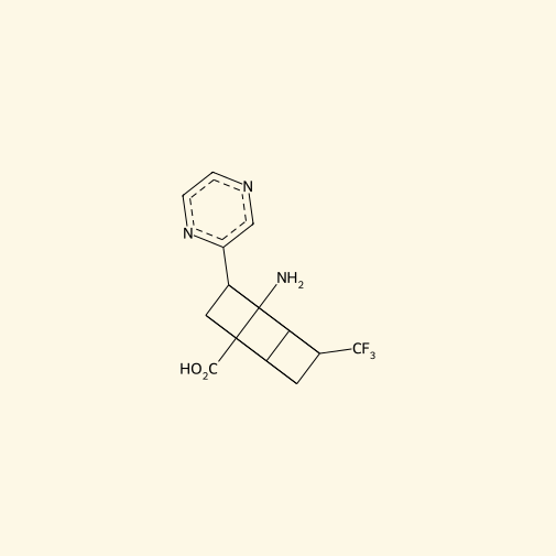 NC12C3C4C5C(C41C(=O)O)C2(c1cnccn1)C53C(F)(F)F